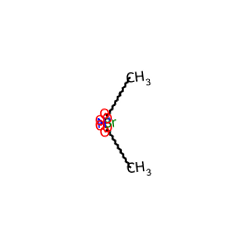 CCCCCCC/C=C/CCCCCCCCC(=O)OCC(Br)(COC(=O)CCCCCCCC/C=C/CCCCCCC)[N+](=O)[O-]